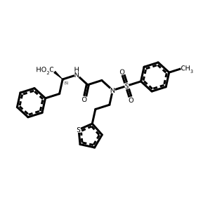 Cc1ccc(S(=O)(=O)N(CCc2cccs2)CC(=O)N[C@@H](Cc2ccccc2)C(=O)O)cc1